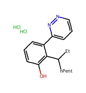 CCCCCC(CC)c1c(O)cccc1-c1cccnn1.Cl.Cl